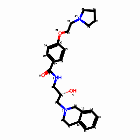 O=C(NC[C@H](O)CN1CCc2ccccc2C1)c1ccc(OCCN2CCCC2)cc1